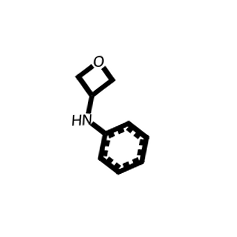 c1ccc(NC2COC2)cc1